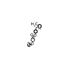 Cc1cccnc1Cc1ccc(OC(=O)N2CCC(On3cccn3)CC2)cc1